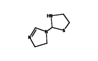 C1=NCCN1C1NCCS1